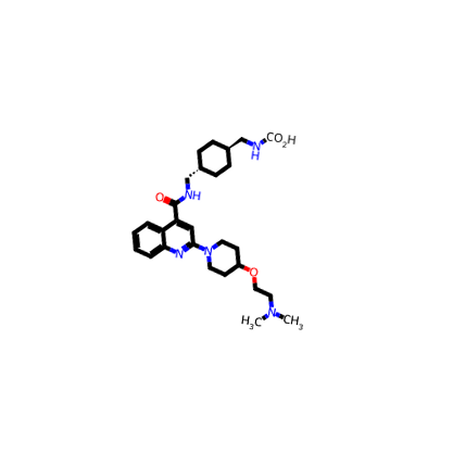 CN(C)CCOC1CCN(c2cc(C(=O)NC[C@H]3CC[C@H](CNC(=O)O)CC3)c3ccccc3n2)CC1